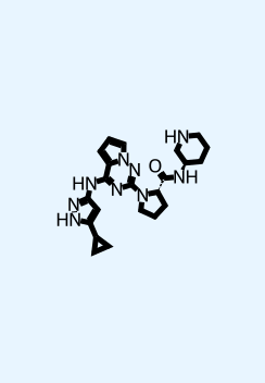 O=C(N[C@@H]1CCCNC1)[C@@H]1CCCN1c1nc(Nc2cc(C3CC3)[nH]n2)c2cccn2n1